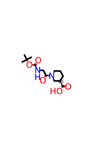 CC(C)(C)OC(=O)NCC(=O)N1CCC[C@@H](C(=O)O)C1